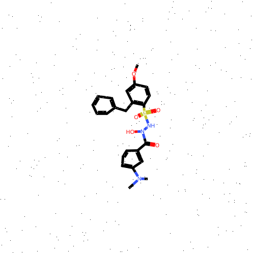 COc1ccc(S(=O)(=O)NN(O)C(=O)c2cccc(N(C)C)c2)c(Cc2ccccc2)c1